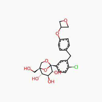 OC[C@@]12CO[C@@](c3ccc(Cl)c(Cc4ccc(OC5COC5)cc4)c3)(O1)[C@H](O)[C@@H](O)[C@@H]2O